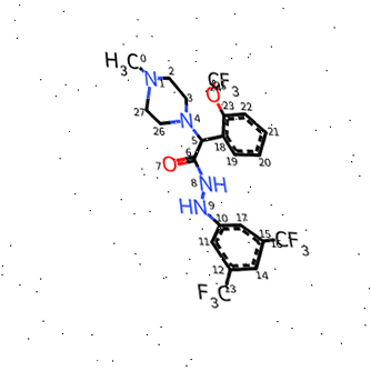 CN1CCN(C(C(=O)NNc2cc(C(F)(F)F)cc(C(F)(F)F)c2)c2ccccc2OC(F)(F)F)CC1